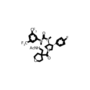 CC(=O)NCC1(C(=O)N2C[C@@H](N(C)C(=O)N(C)c3cc(C(F)(F)F)cc(C(F)(F)F)c3)[C@H](c3ccc(F)cc3)C2)CCOCC1